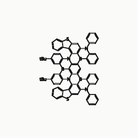 CC(C)(C)c1ccc2c(c1)B1c3cc(C(C)(C)C)ccc3N3c4c(cc5c(c41)N2c1c2c(cc4sc6ccccc6c14)N(c1ccccc1)c1ccccc1B52)B1c2ccccc2N(c2ccccc2)c2cc4sc5ccccc5c4c3c21